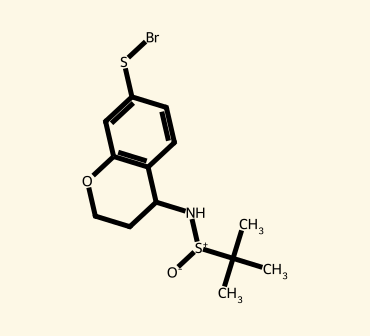 CC(C)(C)[S+]([O-])NC1CCOc2cc(SBr)ccc21